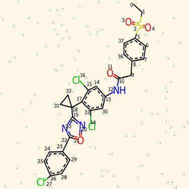 CCS(=O)(=O)c1ccc(CC(=O)Nc2cc(Cl)c(C3(c4noc(-c5ccc(Cl)cc5)n4)CC3)c(Cl)c2)cc1